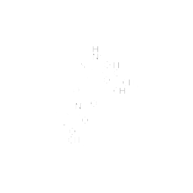 COc1cccc2c1C(=O)N(C(=O)C1Cc3c(sc(N)c3C(=O)OC(C)(C)C)CO1)C2